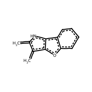 C=c1[nH]c2c(oc3ccccc32)c1=C